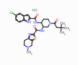 CN1CCc2nc(C(=O)NC3CN(C(=O)CC(C)(C)C)CCC3NC(=O)c3cc4cc(Cl)ccc4[nH]3)sc2C1.Cl